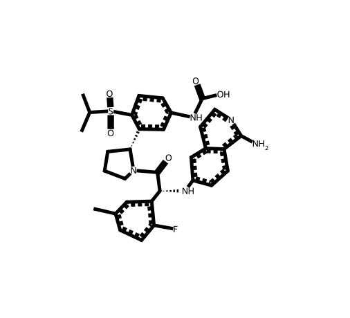 Cc1ccc(F)c([C@@H](Nc2ccc3c(N)nccc3c2)C(=O)N2CCC[C@@H]2c2cc(NC(=O)O)ccc2S(=O)(=O)C(C)C)c1